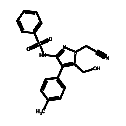 Cc1ccc(-c2c(NS(=O)(=O)c3ccccc3)nn(CC#N)c2CO)cc1